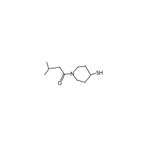 CC(C)CC(=O)N1CCC(S)CC1